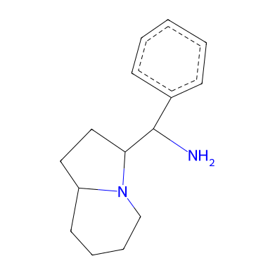 NC(c1ccccc1)C1CCC2CCCCN21